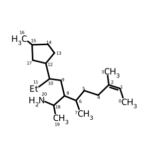 C/C=C(/C)CCC(C)C(CC(CC)C1CCC(C)C1)C(C)N